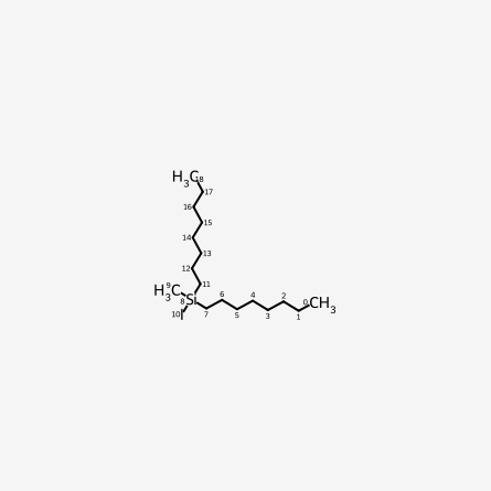 CCCCCCCC[Si](C)(I)CCCCCCCC